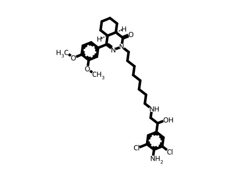 COc1ccc(C2=NN(CCCCCCCCNCC(O)c3cc(Cl)c(N)c(Cl)c3)C(=O)[C@@H]3CCCC[C@H]23)cc1OC